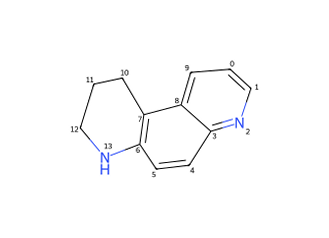 c1cnc2ccc3c(c2c1)CCCN3